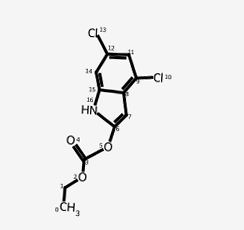 CCOC(=O)Oc1cc2c(Cl)cc(Cl)cc2[nH]1